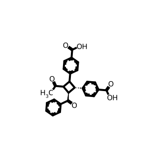 CC(=O)C1C(c2ccc(C(=O)O)cc2)[C@H](c2ccc(C(=O)O)cc2)[C@H]1C(=O)c1ccccc1